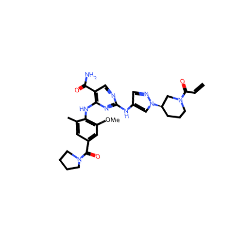 C=CC(=O)N1CCC[C@@H](n2cc(Nc3ncc(C(N)=O)c(Nc4c(C)cc(C(=O)N5CCCC5)cc4OC)n3)cn2)C1